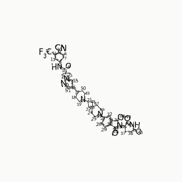 CC(C)(C(=O)Nc1ccc(C#N)c(C(F)(F)F)c1)n1cc(C2CCN(C3CC4(CCN(c5ccc6c(c5)C(=O)N(C5CCC(=O)NC5=O)C6=O)CC4)C3)CC2)cn1